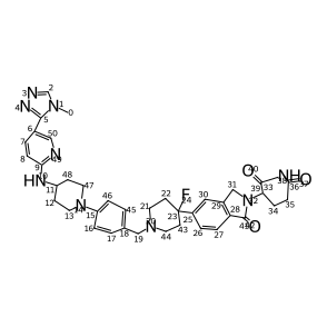 Cn1cnnc1-c1ccc(NC2CCN(c3ccc(CN4CCC(F)(c5ccc6c(c5)CN(C5CCC(=O)NC5=O)C6=O)CC4)cc3)CC2)nc1